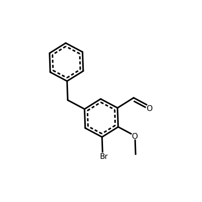 COc1c(Br)cc(Cc2ccccc2)cc1C=O